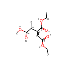 CCOC(=O)/C=C(\C(=O)OCC)C(C)C(=O)OC